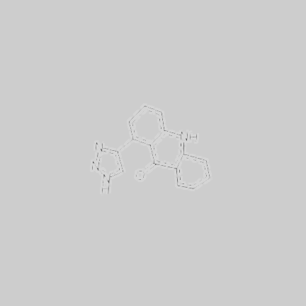 O=c1c2ccccc2[nH]c2cccc(-c3c[nH]nn3)c12